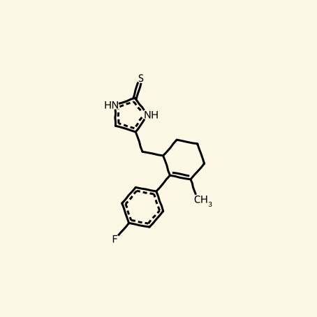 CC1=C(c2ccc(F)cc2)C(Cc2c[nH]c(=S)[nH]2)CCC1